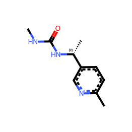 CNC(=O)N[C@H](C)c1ccc(C)nc1